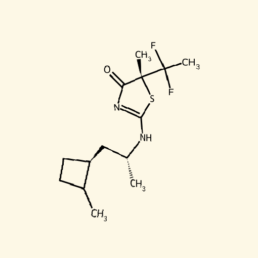 CC1CC[C@H]1C[C@@H](C)NC1=NC(=O)[C@](C)(C(C)(F)F)S1